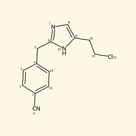 N#Cc1ccc(Cc2ncc(CCCl)[nH]2)cc1